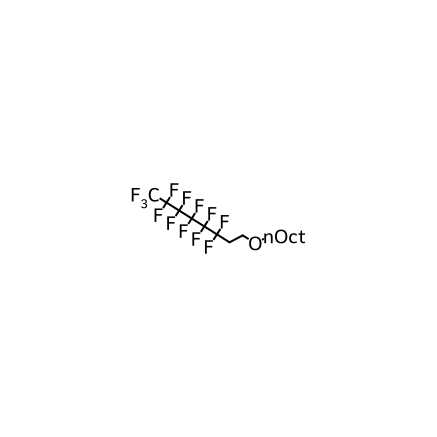 CCCCCCCCOCCC(F)(F)C(F)(F)C(F)(F)C(F)(F)C(F)(F)C(F)(F)F